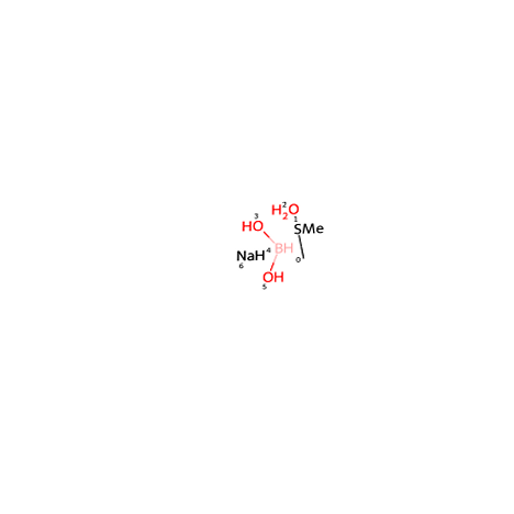 CSC.O.OBO.[NaH]